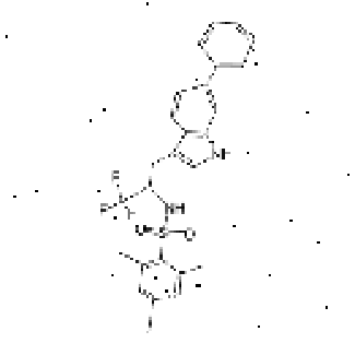 Cc1cc(C)c(S(=O)(=O)NC(Cc2c[nH]c3cc(-c4ccccc4)ccc23)C(F)(F)F)c(C)c1